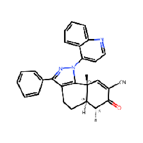 C[C@H]1C(=O)C(C#N)=C[C@@]2(C)c3c(c(-c4ccccc4)nn3-c3ccnc4ccccc34)CC[C@H]12